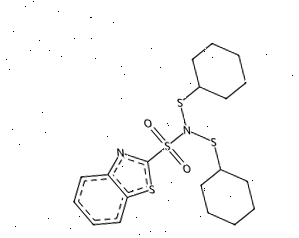 O=S(=O)(c1nc2ccccc2s1)N(SC1CCCCC1)SC1CCCCC1